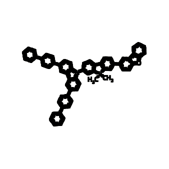 C[Si]1(C)c2cc(-c3ccc4oc5ccccc5c4c3)ccc2-c2ccc(-n3c4ccc(-c5ccc(-c6ccccc6)cc5)cc4c4cc(-c5ccc(-c6ccccc6)cc5)ccc43)cc21